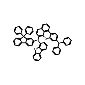 c1ccc(N(c2ccccc2)c2ccc3c(c2)Oc2c(N(c4ccc5c(c4)C(c4ccccc4)(c4ccccc4)c4ccccc4-5)c4cccc5c4oc4ccccc45)ccc4cccc-3c24)cc1